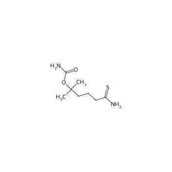 CC(C)(CCCC(N)=S)OC(N)=O